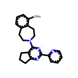 COc1cccc2c1CCN(c1nc(-c3ccccn3)nc3c1CCC3)CC2